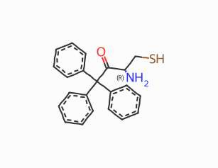 N[C@@H](CS)C(=O)C(c1ccccc1)(c1ccccc1)c1ccccc1